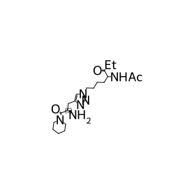 CCC(=O)C(CCCCn1cc(C[C@H](N)C(=O)N2CCCCC2)nn1)NC(C)=O